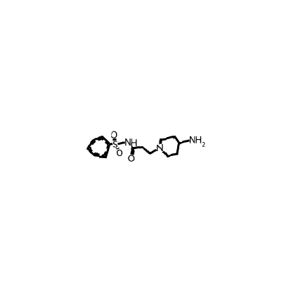 NC1CCN(CCC(=O)NS(=O)(=O)c2ccccc2)CC1